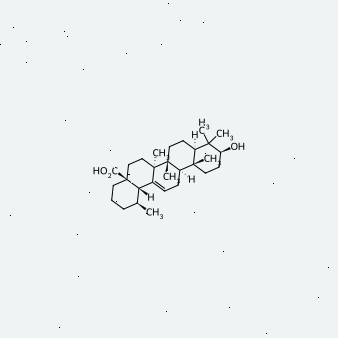 C[C@H]1CCC[C@]2(C(=O)O)CC[C@]3(C)C(=CC[C@@H]4[C@@]5(C)CC[C@H](O)C(C)(C)[C@@H]5CC[C@]43C)[C@H]12